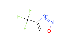 FC(F)(F)C1=CON=[N+]1